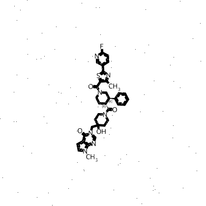 Cc1nc(-c2ccc(F)nc2)sc1C(=O)N1CC[C@@H](C(=O)N2CCC(O)(Cn3cnc4c(ccn4C)c3=O)CC2)[C@H](c2ccccc2)C1